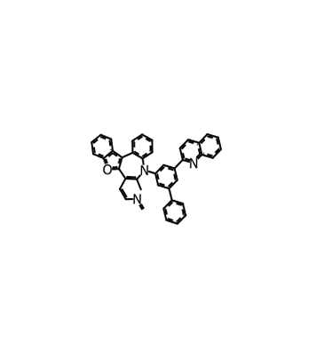 C=N/C=C\C1=C(C)N(c2cc(-c3ccccc3)cc(-c3ccc4ccccc4n3)c2)c2ccccc2-c2c1oc1ccccc21